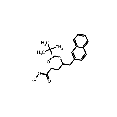 COC(=O)CCC(Cc1ccc2ccccc2c1)N[S+]([O-])C(C)(C)C